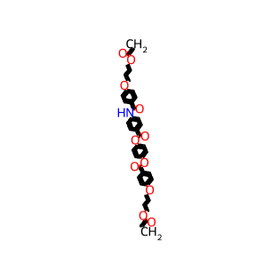 C=CC(=O)OCCCCOc1ccc(C(=O)Nc2ccc(C(=O)Oc3ccc(OC(=O)c4ccc(OCCCCOC(=O)C=C)cc4)cc3)cc2)cc1